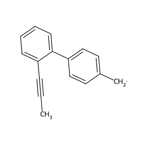 [CH2]c1ccc(-c2ccccc2C#CC)cc1